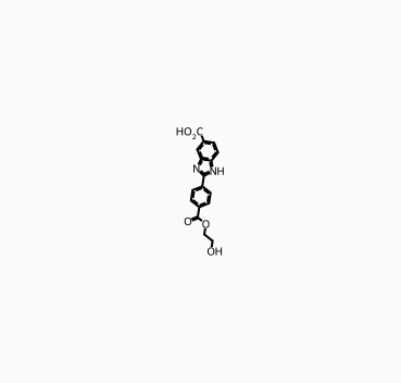 O=C(O)c1ccc2[nH]c(-c3ccc(C(=O)OCCO)cc3)nc2c1